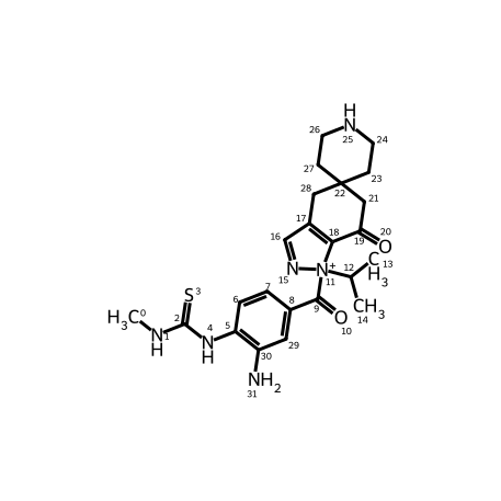 CNC(=S)Nc1ccc(C(=O)[N+]2(C(C)C)N=CC3=C2C(=O)CC2(CCNCC2)C3)cc1N